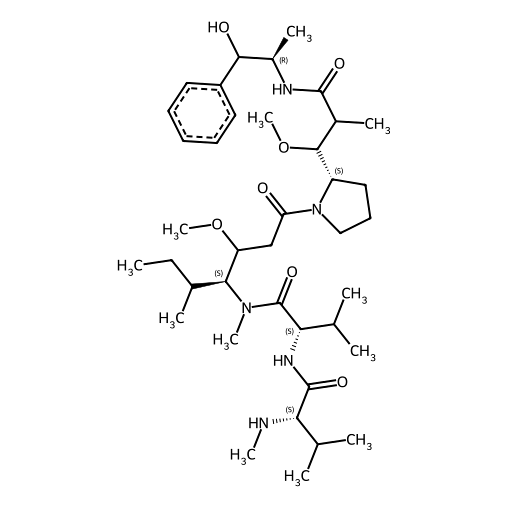 CCC(C)[C@@H](C(CC(=O)N1CCC[C@H]1C(OC)C(C)C(=O)N[C@H](C)C(O)c1ccccc1)OC)N(C)C(=O)[C@@H](NC(=O)[C@@H](NC)C(C)C)C(C)C